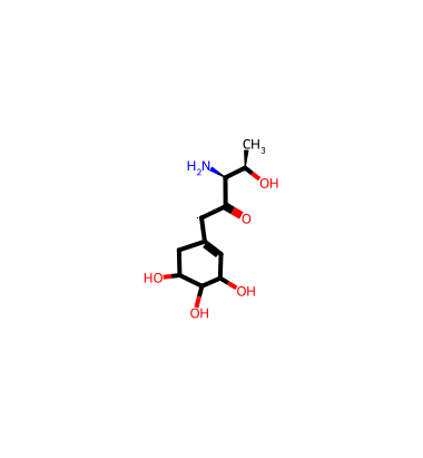 C[C@@H](O)[C@H](N)C(=O)[CH]C1=CC(O)C(O)C(O)C1